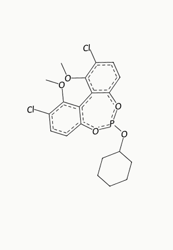 COc1c(Cl)ccc2op(OC3CCCCC3)oc3ccc(Cl)c(OC)c3c12